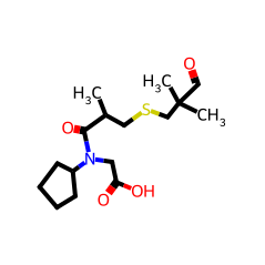 CC(CSCC(C)(C)C=O)C(=O)N(CC(=O)O)C1CCCC1